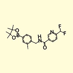 Cc1cc(B2OC(C)(C)C(C)(C)O2)ccc1CNC(=O)c1ccc(C(F)F)nc1